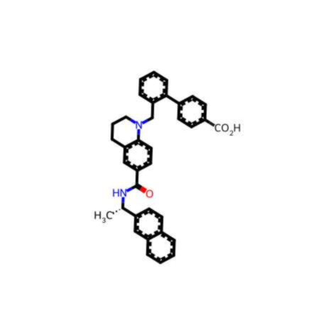 C[C@H](NC(=O)c1ccc2c(c1)CCCN2Cc1ccccc1-c1ccc(C(=O)O)cc1)c1ccc2ccccc2c1